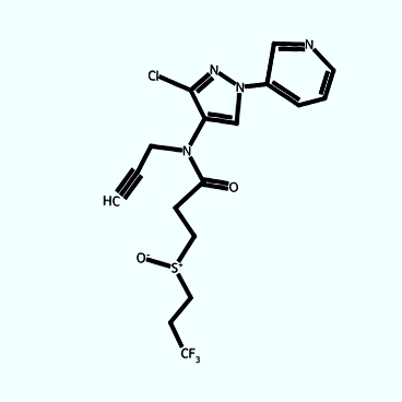 C#CCN(C(=O)CC[S+]([O-])CCC(F)(F)F)c1cn(-c2cccnc2)nc1Cl